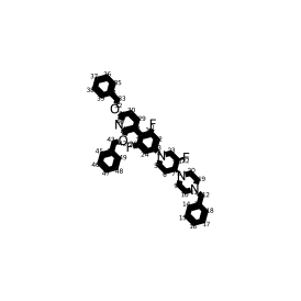 Fc1cc(N2CC[C@H](N3CCN(Cc4ccccc4)CC3)[C@H](F)C2)cc(F)c1-c1ccc(OCc2ccccc2)nc1OCc1ccccc1